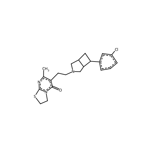 Cc1nc2n(c(=O)c1CCN1CC3CC(c4cccc(Cl)c4)C3C1)CCS2